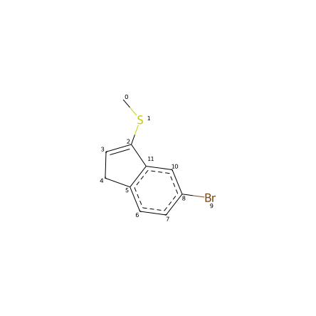 CSC1=CCc2ccc(Br)cc21